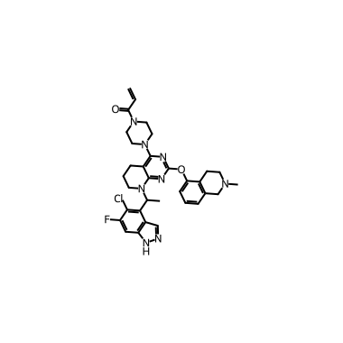 C=CC(=O)N1CCN(c2nc(Oc3cccc4c3CCN(C)C4)nc3c2CCCN3C(C)c2c(Cl)c(F)cc3[nH]ncc23)CC1